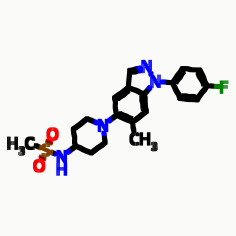 Cc1cc2c(cnn2-c2ccc(F)cc2)cc1N1CCC(NS(C)(=O)=O)CC1